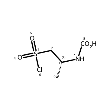 C[C@H](CS(=O)(=O)Cl)NC(=O)O